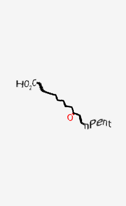 CCCCC/C=C/C(=O)CCCCCCCC(=O)O